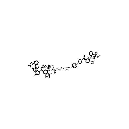 CCOC(=O)CC(c1ccc(C)c(CC2CC(C)Oc3ccccc3S2(=O)=O)c1)c1cc(OCC(=O)NCCOCCOCCN2CCN(c3ccc(Nc4ncc(Cl)c(Nc5ccccc5S(=O)(=O)C(C)C)n4)cc3)CC2)c2c(c1)nnn2C